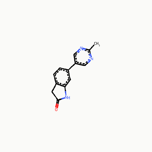 Cc1ncc(-c2ccc3c(c2)NC(=O)C3)cn1